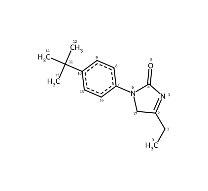 CCC1=NC(=O)N(c2ccc(C(C)(C)C)cc2)C1